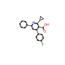 O=C(O)c1c(-c2ccc(F)cc2)cc(-c2ccccc2)nc1C1CC1